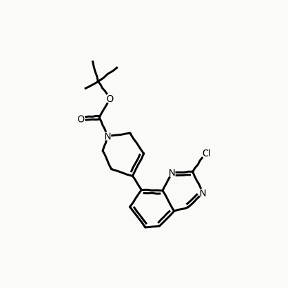 CC(C)(C)OC(=O)N1CC=C(c2cccc3cnc(Cl)nc23)CC1